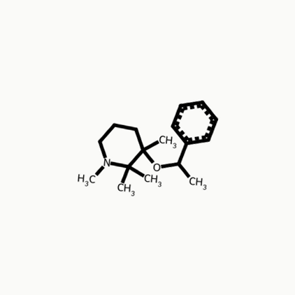 CC(OC1(C)CCCN(C)C1(C)C)c1ccccc1